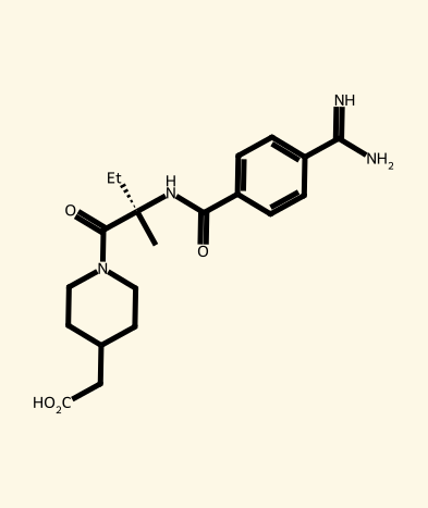 CC[C@@](C)(NC(=O)c1ccc(C(=N)N)cc1)C(=O)N1CCC(CC(=O)O)CC1